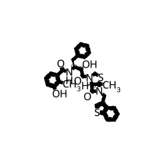 Cc1c(O)cccc1C(=O)N[C@@H](Cc1ccccc1)[C@H](O)C(=O)N1CSC2(C)[C@H]1C(=O)N2Cc1csc2ccccc12